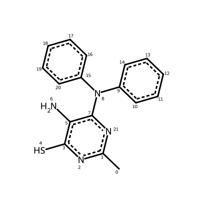 Cc1nc(S)c(N)c(N(c2ccccc2)c2ccccc2)n1